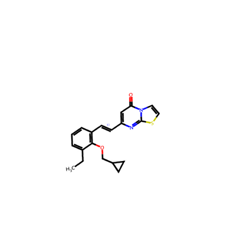 CCc1cccc(/C=C/c2cc(=O)n3ccsc3n2)c1OCC1CC1